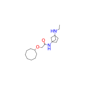 CCNC12CCC(NC(=O)COC3CCCCCCC3)(C1)C2